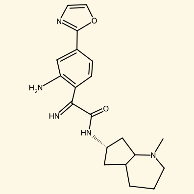 CN1CCCC2C[C@H](NC(=O)C(=N)c3ccc(-c4ncco4)cc3N)CC21